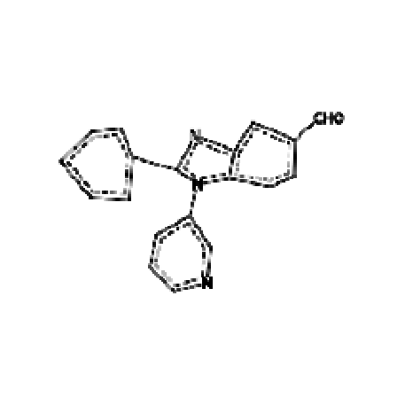 O=Cc1ccc2c(c1)nc(-c1ccccc1)n2-c1cccnc1